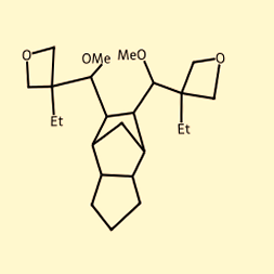 CCC1(C(OC)C2C3CC(C4CCCC43)C2C(OC)C2(CC)COC2)COC1